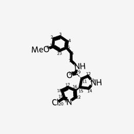 COc1cccc(CCNC(=O)[C@@H]2CNC[C@H]2c2ccc(Cl)nc2)c1